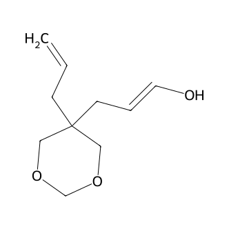 C=CCC1(CC=CO)COCOC1